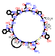 C[C@@H]1NC(=O)[C@@H]2CCCC/C=C\CCCC[C@@H](C(=O)N2C)N(C)C(=O)[C@H](Cc2c[nH]c3ccccc23)NC(=O)[C@H](CO)NC(=O)[C@H](Cc2c[nH]c3ccccc23)NC(=O)[C@@H]2C[C@@H](O)CN2C(=O)[C@H](CCC(N)=O)NC(=O)[C@H](CN)NC(=O)[C@@H]2CCCN2C(=O)[C@H](CC(=O)O)NC(=O)[C@H](C)N(C)C(=O)[C@H](Cc2ccc(O)cc2)NC(=O)CSC[C@@H](C(=O)NCC(N)=O)NC1=O